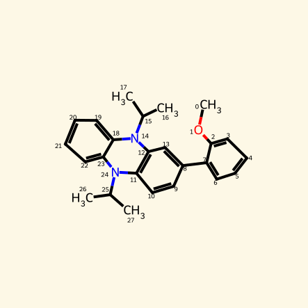 COc1ccccc1-c1ccc2c(c1)N(C(C)C)c1ccccc1N2C(C)C